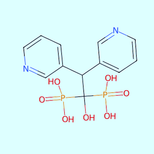 O=P(O)(O)C(O)(C(c1cccnc1)c1cccnc1)P(=O)(O)O